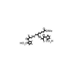 COC(=O)CCCCC(CSSCC(C)C(=O)N1CCCC1C(=O)O)SSCC(C)C(=O)N1CCCC1C(=O)O